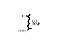 CCCCCCCC(C)CCCCC(C)O.O=S(=O)(O)O